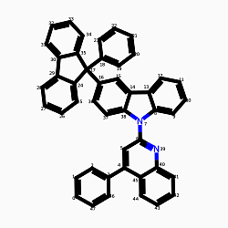 c1ccc(-c2cc(-n3c4ccccc4c4cc(C5(c6ccccc6)c6ccccc6-c6ccccc65)ccc43)nc3ccccc23)cc1